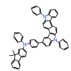 CC1(C)c2ccccc2-c2ccc(N(c3ccccc3)c3ccc(-c4ccc5c(c4)c4c6ccc7c(c6ccc4n5-c4ccccc4)c4ccccc4n7-c4ccccc4)cc3)cc21